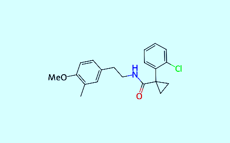 COc1ccc(CCNC(=O)C2(c3ccccc3Cl)CC2)cc1C